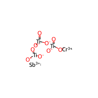 [Cr+3].[O]=[Ti]([O-])[O-].[O]=[Ti]([O-])[O-].[O]=[Ti]([O-])[O-].[Sb+3]